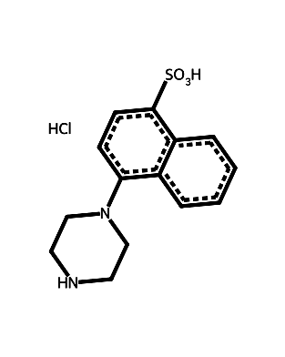 Cl.O=S(=O)(O)c1ccc(N2CCNCC2)c2ccccc12